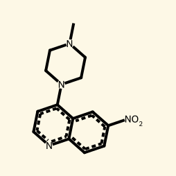 CN1CCN(c2ccnc3ccc([N+](=O)[O-])cc23)CC1